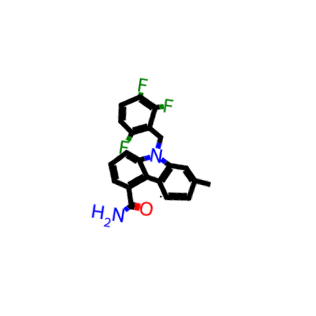 Cc1c[c]c2c3c(C(N)=O)cccc3n(Cc3c(F)ccc(F)c3F)c2c1